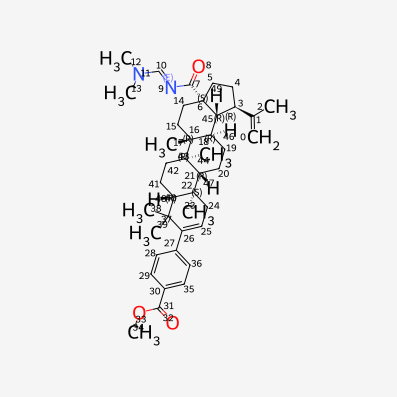 C=C(C)[C@@H]1CC[C@]2(C(=O)/N=C/N(C)C)CC[C@]3(C)[C@H](CC[C@@H]4[C@@]5(C)CC=C(c6ccc(C(=O)OC)cc6)C(C)(C)[C@@H]5CC[C@]43C)[C@@H]12